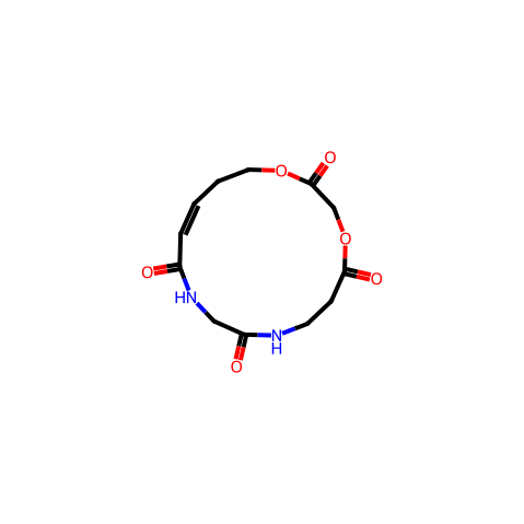 O=C1C=CCCOC(=O)COC(=O)CCNC(=O)CN1